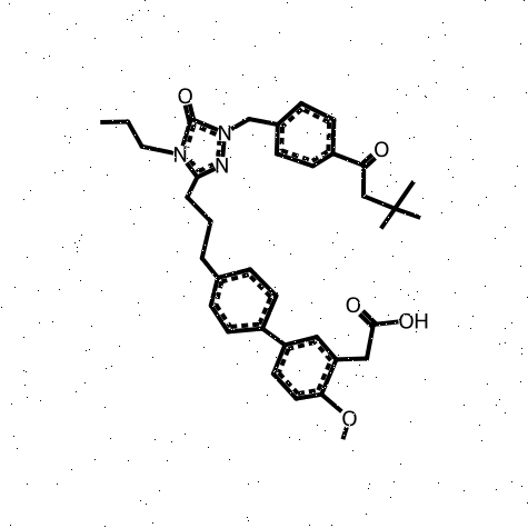 CCCn1c(CCCc2ccc(-c3ccc(OC)c(CC(=O)O)c3)cc2)nn(Cc2ccc(C(=O)CC(C)(C)C)cc2)c1=O